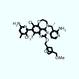 COCC12COC(COc3nc4c5c(c(Cl)c(-c6nc(N)cc(C)c6C(F)(F)F)c(F)c5n3)OCCN4[C@H](C)c3cccnc3N)(C1)C2